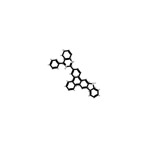 C1=Cc2nc(-c3ccc4c(c3)c3ccccc3c3cc5c(cc43)oc3ccccc35)nc(-c3ccccc3)c2CC1